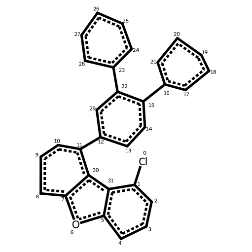 Clc1cccc2oc3cccc(-c4ccc(-c5ccccc5)c(-c5ccccc5)c4)c3c12